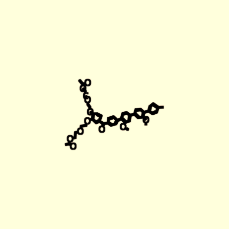 COc1cc(-c2ccc(-c3ccc(C(=O)c4ccc(OCCOCCOC(C)=O)c(OCCOCCOC(C)=O)c4)cc3)c(OC)c2)ccc1-c1ccc(C)cc1